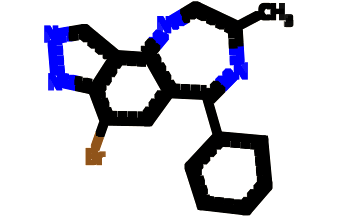 Cc1cnc2c(cc(Br)c3nncc32)c(-c2ccccc2)n1